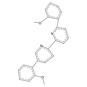 COc1ccccc1-c1ccc(-c2cccc(-c3ccccc3OC)n2)nc1